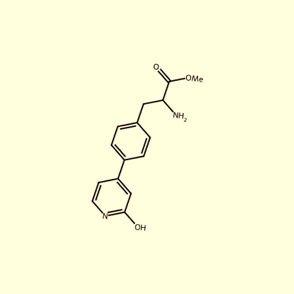 COC(=O)C(N)Cc1ccc(-c2ccnc(O)c2)cc1